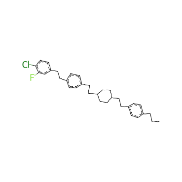 CCCc1ccc(CCC2CCC(CCc3ccc(CCc4ccc(Cl)c(F)c4)cc3)CC2)cc1